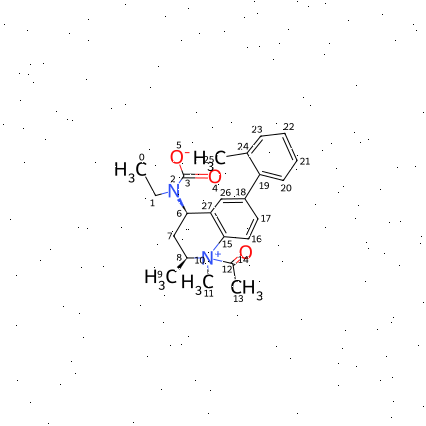 CCN(C(=O)[O-])[C@@H]1C[C@H](C)[N+](C)(C(C)=O)c2ccc(-c3ccccc3C)cc21